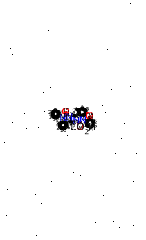 CC1C=CC2=C(C1)N(C(=O)N1CCN(C(=O)N(c3ccccc3)c3ccccc3)C[C@H]1C(=O)O)C1CCCCC1O2